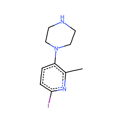 Cc1nc(I)ccc1N1CCNCC1